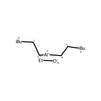 CCC(C)C[CH2][Al+][CH2]CC(C)CC.CC[O-]